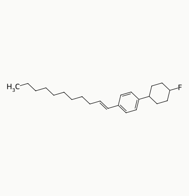 CCCCCCCCCC=Cc1ccc(C2CCC(F)CC2)cc1